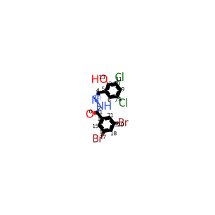 O=C(N/N=C\c1cc(Cl)cc(Cl)c1O)c1cc(Br)cc(Br)c1